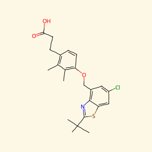 Cc1c(CCC(=O)O)ccc(OCc2cc(Cl)cc3sc(C(C)(C)C)nc23)c1C